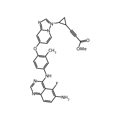 COC(=O)C#CC1CC1[n+]1cnc2cc(Oc3ccc(Nc4ncnc5ccc(N)c(F)c45)cc3C)ccn21